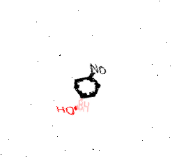 O=Nc1ccc(BO)cc1